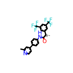 Cc1cc(-c2ccc(NC(=O)[C@@H](C)c3cc(C(F)(F)F)cc(C(F)(F)F)c3)cc2)ccn1